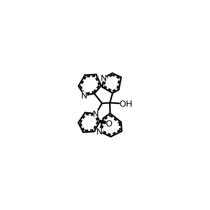 O=c1ccccn1C(c1ccccn1)C(O)(c1cccnc1)c1cccnc1